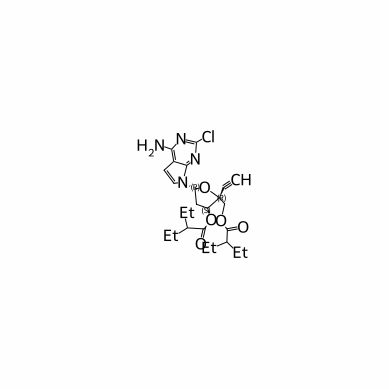 C#C[C@]1(COC(=O)C(CC)CC)O[C@@H](n2ccc3c(N)nc(Cl)nc32)C[C@@H]1OC(=O)C(CC)CC